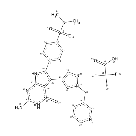 CN(C)S(=O)(=O)c1ccc(-c2[nH]c3nc(N)[nH]c(=O)c3c2-c2cnn(Cc3cccnc3)c2)cc1.O=C(O)C(F)(F)F